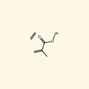 C=C.C=C(C)C(=O)OC(C)C